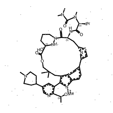 CCn1c(-c2cc(C3CCN(C)CC3)cnc2[C@H](C)OC)c2c3cc(ccc31)-c1csc(n1)C[C@H](NC(=O)[C@H](C(C)C)N(C)C(=O)N(C)C)C(=O)N1CCC[C@@](O)(N1)C(=O)OCC(C)(C)C2